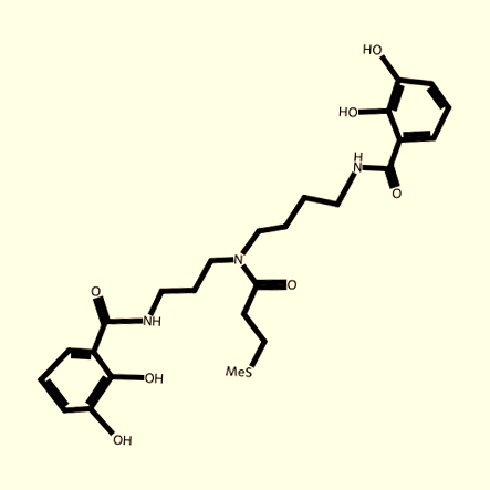 CSCCC(=O)N(CCCCNC(=O)c1cccc(O)c1O)CCCNC(=O)c1cccc(O)c1O